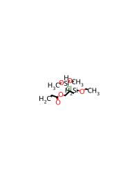 C=CC(=O)OCCC[SiH2]OCC.CO[SiH](Cl)OC